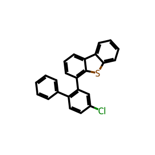 Clc1ccc(-c2ccccc2)c(-c2cccc3c2sc2ccccc23)c1